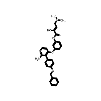 CN(C)C/C=C(\C#N)C(=O)Nc1cccc(Oc2ccnc(N)c2-c2ccc(OCc3ccccc3)cc2)c1